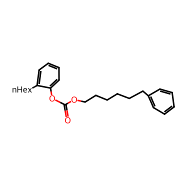 CCCCCCc1ccccc1OC(=O)OCCCCCCc1ccccc1